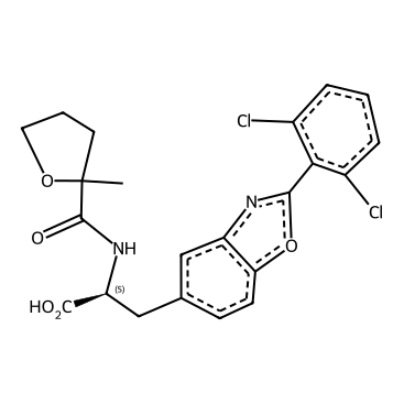 CC1(C(=O)N[C@@H](Cc2ccc3oc(-c4c(Cl)cccc4Cl)nc3c2)C(=O)O)CCCO1